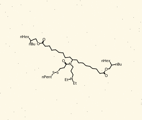 CCCCCCC(CCCC)COC(=O)CCCCCCCCC(CCCCCCCCC(=O)OCC(CCCC)CCCCCC)N(CCCN(CC)CC)C(=O)CCSSCCCCC